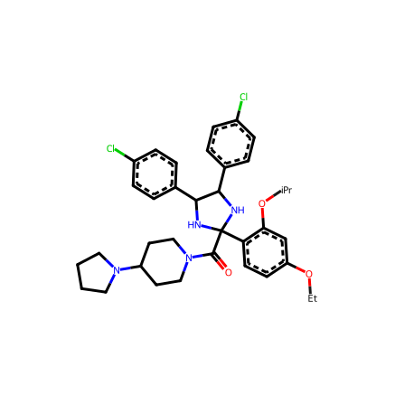 CCOc1ccc(C2(C(=O)N3CCC(N4CCCC4)CC3)NC(c3ccc(Cl)cc3)C(c3ccc(Cl)cc3)N2)c(OC(C)C)c1